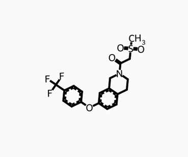 CS(=O)(=O)CC(=O)N1CCc2ccc(Oc3ccc(C(F)(F)F)cc3)cc2C1